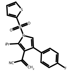 C=C(C#N)c1c(-c2ccc(F)cc2)cn(S(=O)(=O)c2cccs2)c1C(C)C